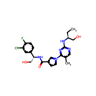 CC[C@@H](CO)Nc1ncc(C)c(-n2ccc(C(=O)N[C@H](CO)c3ccc(F)c(Cl)c3)c2)n1